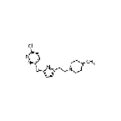 CN1CCN(CCn2ccc(Oc3ccc(Cl)nn3)n2)CC1